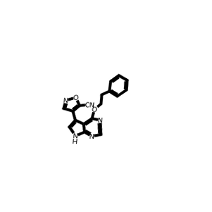 N#Cc1oncc1-c1c[nH]c2ncnc(OCCc3ccccc3)c12